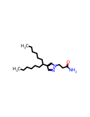 CCCCCCC(CCCCCC)c1cnn(CCC(N)=O)c1